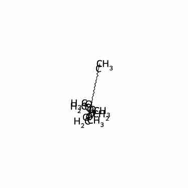 C=C(C)C(=O)OCC(COC(CCCCCCCCCCCCCCCCCCCCCCCCCC)OC(=O)C(=C)C)OC(=O)C(=C)C